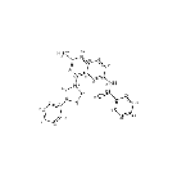 Cc1cc(N2CCC(c3ccccc3)C2)c2cc(NC(=O)c3ccccc3)ccc2n1